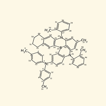 Cc1ccc(N(c2ccc(C)cc2)c2ccc3c(c2)B2c4cc5c(cc4N(c4ccccc4C)c4cc(C)cc(c42)N3c2ccccc2C)CCCC5)cc1